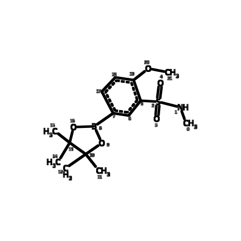 CNS(=O)(=O)c1cc(B2OC(C)(C)C(C)(C)O2)ccc1OC